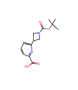 CC(C)(C)OC(=O)N1CC(c2cccc(C(=O)O)n2)C1